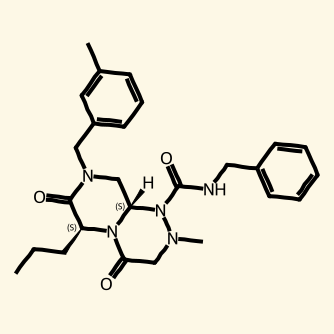 CCC[C@H]1C(=O)N(Cc2cccc(C)c2)C[C@H]2N1C(=O)CN(C)N2C(=O)NCc1ccccc1